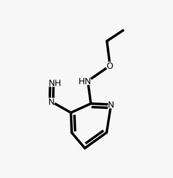 CCONc1ncccc1N=N